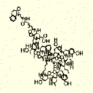 CC[C@H](C)[C@H](NC(=O)[C@H](CO)NC(=O)[C@H](Cc1ccc(O)cc1)NC(=O)[C@H](CC(=O)O)NC(=O)[C@H](CO)NC(=O)[C@@H](NC(=O)[C@H](Cc1ccccc1)NC(=O)[C@@H](NC(=O)CNC(=O)[C@H](CCC(=O)O)NC(=O)CSCC(=O)NCCN1C(=O)CCc2ccccc21)[C@@H](C)O)[C@@H](C)O)C(=O)N[C@@H](Cc1ccc(O)cc1)C(=O)N[C@@H](CC(C)C)C(=O)N[C@@H](CC(=O)O)C(=O)N[C@H](C)CCCCN